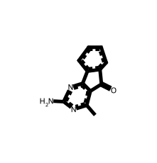 Cc1nc(N)nc2c1C(=O)c1ccccc1-2